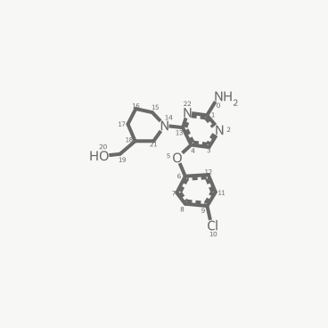 Nc1ncc(Oc2ccc(Cl)cc2)c(N2CCCC(CO)C2)n1